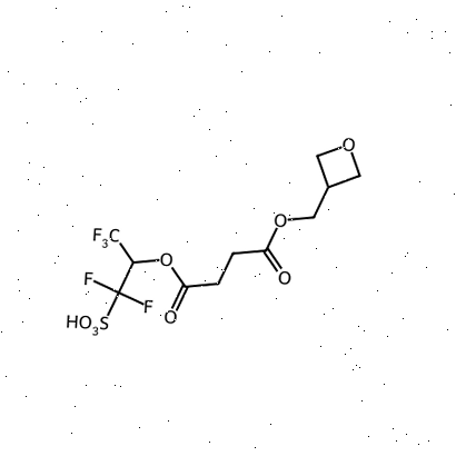 O=C(CCC(=O)OC(C(F)(F)F)C(F)(F)S(=O)(=O)O)OCC1COC1